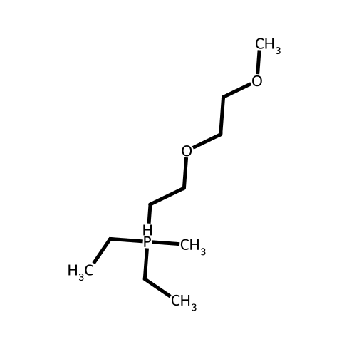 CC[PH](C)(CC)CCOCCOC